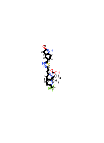 CC(C)(C)N(C(=O)O)C(CCc1nnc(-c2ccc3c(c2)CC(=O)N3)s1)Cc1ccc(C(F)(F)F)nc1